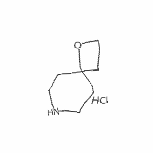 C1CC2(CCN1)CCO2.Cl